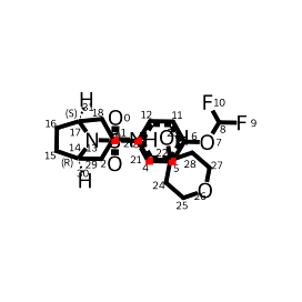 O=S(=O)(c1ccc(OC(F)F)cc1)N1[C@@H]2CC[C@H]1CC(NCC1(O)CCOCC1)C2